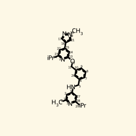 Cc1cc(NCc2cccc(COc3cc(-c4cnn(C)c4)cc(C(C)C)n3)c2)cc(C(C)C)n1